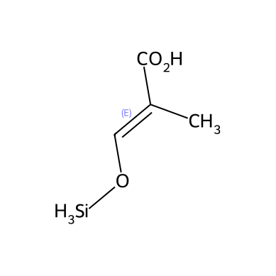 C/C(=C\O[SiH3])C(=O)O